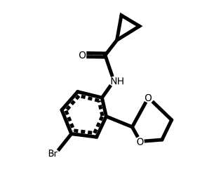 O=C(Nc1ccc(Br)cc1C1OCCO1)C1CC1